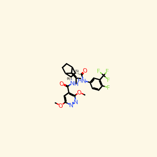 COc1cc(C(=O)N[C@@H]2C3CCC(C3=C(C)C)[C@@H]2C(=O)Nc2ccc(F)c(C(F)(F)F)c2)c(OC)nn1